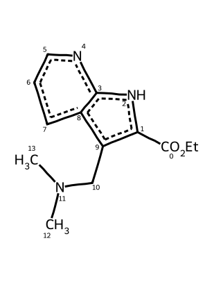 CCOC(=O)c1[nH]c2ncccc2c1CN(C)C